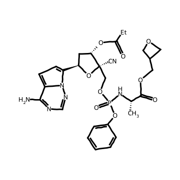 CCC(=O)O[C@H]1C[C@H](c2ccc3c(N)ncnn23)O[C@]1(C#N)COP(=O)(N[C@@H](C)C(=O)OCC1COC1)Oc1ccccc1